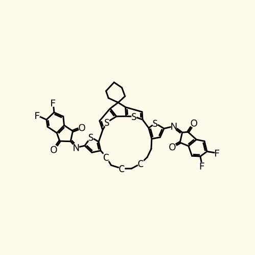 O=c1c(=Nc2cc3c(s2)-c2cc4c(s2)-c2sc(cc2C42CCCCC2)-c2sc(N=c4c(=O)c5cc(F)c(F)cc5c4=O)cc2CCCCCCC3)c(=O)c2cc(F)c(F)cc12